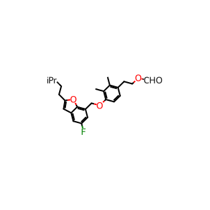 Cc1c(CCOC=O)ccc(OCc2cc(F)cc3cc(CCC(C)C)oc23)c1C